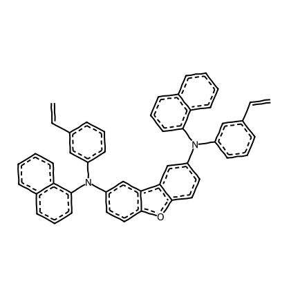 C=Cc1cccc(N(c2ccc3oc4ccc(N(c5cccc(C=C)c5)c5cccc6ccccc56)cc4c3c2)c2cccc3ccccc23)c1